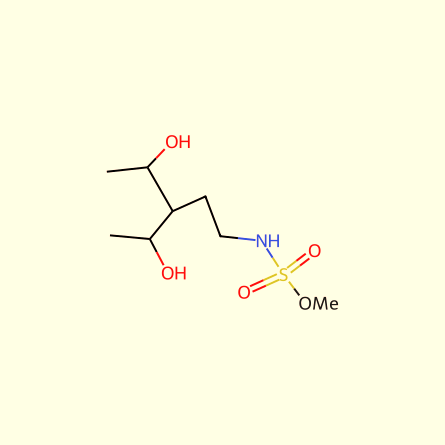 COS(=O)(=O)NCCC(C(C)O)C(C)O